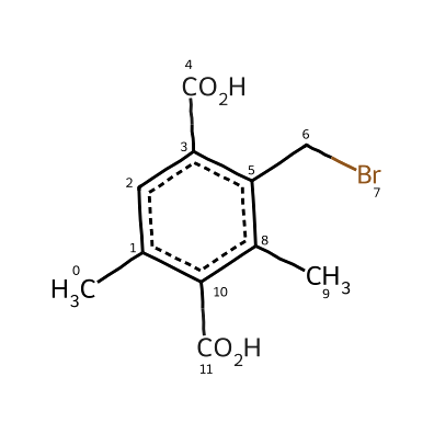 Cc1cc(C(=O)O)c(CBr)c(C)c1C(=O)O